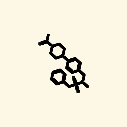 CC(=O)N1CCN(c2ccc(CN(C)S(=O)(=O)Cc3ccccc3)cc2)CC1